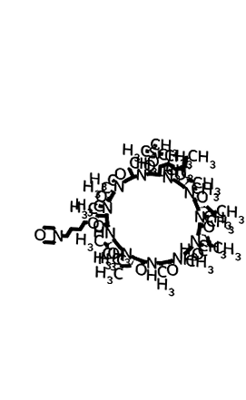 C/C=C/C[C@@H](C)[C@@H](O[Si](C)(C)C)[C@H]1C(=O)NC(CC)C(=O)N(C)[C@H](C)C(=O)N(C)C([C@@H](C)OCCCCN2CCOCC2)C(=O)N[C@@H](C(C)C)C(=O)N(C)[C@@H](CC(C)C)C(=O)NC(C)C(=O)N[C@H](C)C(=O)N(C)[C@@H](CC(C)C)C(=O)N(C)[C@@H](CC(C)C)C(=O)N(C)[C@@H](C(C)C)C(=O)N1C